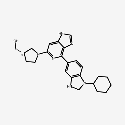 OC[C@H]1CCN(c2cc3[nH]cnc3c(-c3ccc4c(c3)NCN4C3CCCCC3)n2)C1